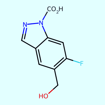 O=C(O)n1ncc2cc(CO)c(F)cc21